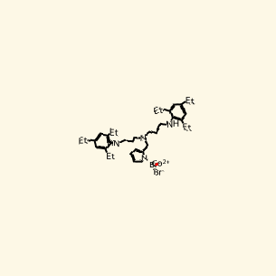 CCc1cc(CC)c(NCCCN(CCCNc2c(CC)cc(CC)cc2CC)Cc2ccccn2)c(CC)c1.[Br-].[Br-].[Co+2]